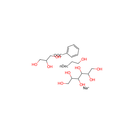 CCCCCCCCCCCCO.O=C([O-])c1ccccc1.OCC(O)C(O)C(O)C(O)CO.OCC(O)CO.[Na+]